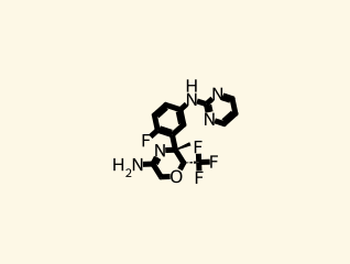 C[C@]1(c2cc(Nc3ncccn3)ccc2F)N=C(N)CO[C@H]1C(F)(F)F